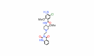 COc1cc(N)c(Cl)cc1C(=O)N[C@@H]1CCN(CCn2c(=O)[nH]c3ccccc3c2=O)C[C@@H]1OC